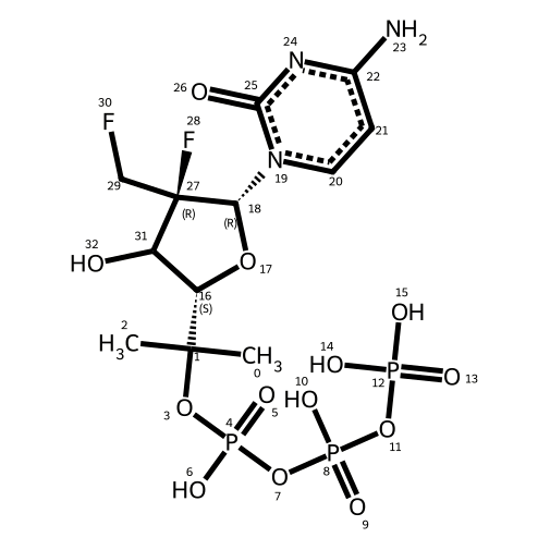 CC(C)(OP(=O)(O)OP(=O)(O)OP(=O)(O)O)[C@H]1O[C@@H](n2ccc(N)nc2=O)[C@@](F)(CF)C1O